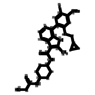 COc1cc(OCC2CC2)c(-c2ncnc3c(C(=O)NC4CCC(NC(=O)CO)CC4)c(C)[nH]c23)cc1F